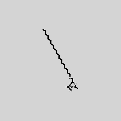 CCCCCCCCCCCCCCCCCCCCOCC(OCC)OP(=O)(O)O